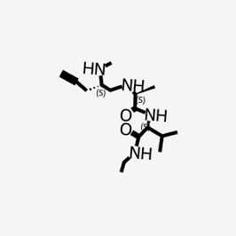 C#CC[C@@H](CN[C@@H](C)C(=O)N[C@H](C(=O)NCC)C(C)C)NC